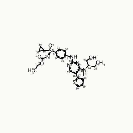 CCOC(=O)N=[S@](=O)(c1ccc(Nc2ncc(-c3cccs3)c(N[C@H](CC)CO)n2)cc1)C1CC1